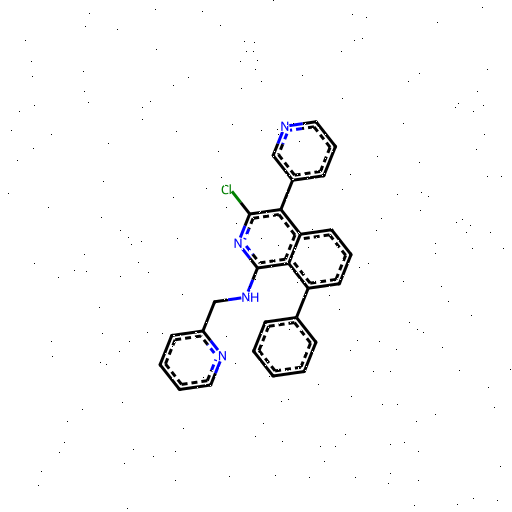 Clc1nc(NCc2ccccn2)c2c(-c3ccccc3)cccc2c1-c1cccnc1